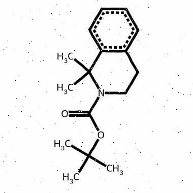 CC(C)(C)OC(=O)N1CCc2ccccc2C1(C)C